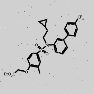 CCOC(=O)COc1ccc(S(=O)(=O)N(CCC2CC2)c2cccc(-c3ccc(C(F)(F)F)cc3)c2)cc1C